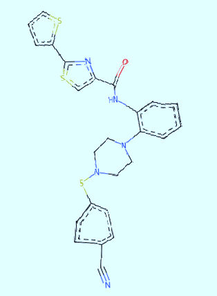 N#Cc1ccc(SN2CCN(c3ccccc3NC(=O)c3csc(-c4cccs4)n3)CC2)cc1